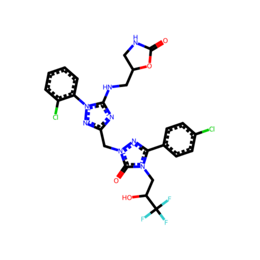 O=C1NCC(CNc2nc(Cn3nc(-c4ccc(Cl)cc4)n(CC(O)C(F)(F)F)c3=O)nn2-c2ccccc2Cl)O1